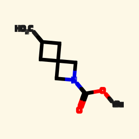 CC(C)(C)OC(=O)N1CC2(CC(C(=O)O)C2)C1